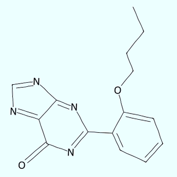 CCCCOc1ccccc1C1=NC(=O)C2=NC=NC2=N1